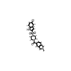 CN1Cc2ccc(C(=O)N3CCN(S(=O)(=O)c4cc5cc(Cl)ccc5[nH]4)CC3)cc2C1